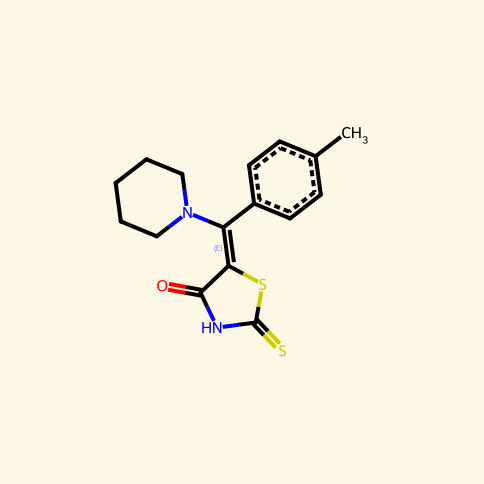 Cc1ccc(/C(=C2\SC(=S)NC2=O)N2CCCCC2)cc1